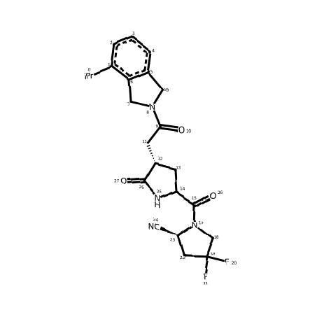 CC(C)c1cccc2c1CN(C(=O)C[C@@H]1CC(C(=O)N3CC(F)(F)C[C@H]3C#N)NC1=O)C2